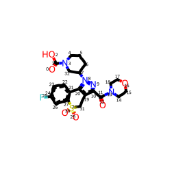 O=C(O)N1CCCC(n2nc(C(=O)N3CCOCC3)c3c2-c2ccc(F)cc2S(=O)(=O)C3)C1